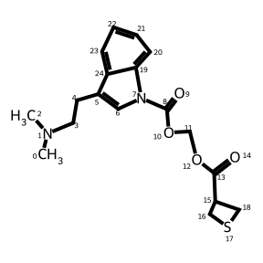 CN(C)CCc1cn(C(=O)OCOC(=O)C2CSC2)c2ccccc12